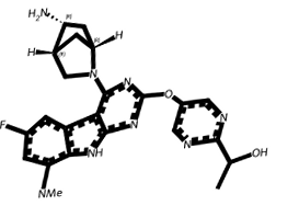 CNc1cc(F)cc2c1[nH]c1nc(Oc3cnc(C(C)O)nc3)nc(N3C[C@H]4C[C@@H]3C[C@H]4N)c12